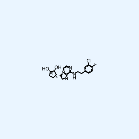 O[C@@H]1[C@H](O)CC[C@H]1c1cnc2c(NCCc3ccc(F)c(Cl)c3)nccn12